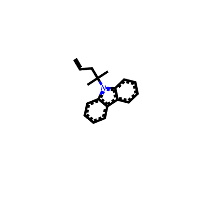 C=CCC(C)(C)n1c2ccccc2c2ccccc21